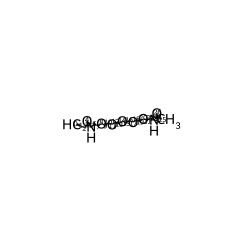 C#CCC(=O)NCCOCCOCCOCCOCCOCCNC(C)=O